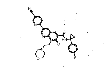 N#Cc1ccc(-c2cnc3c(c2)cc(C(=O)NC2(c4ccc(F)cc4)CC2)c(=O)n3CCN2CCOCC2)nc1